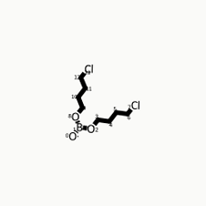 [O]B(OCCCCCl)OCCCCCl